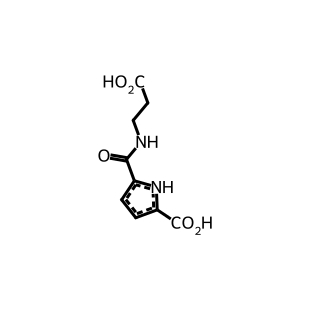 O=C(O)CCNC(=O)c1ccc(C(=O)O)[nH]1